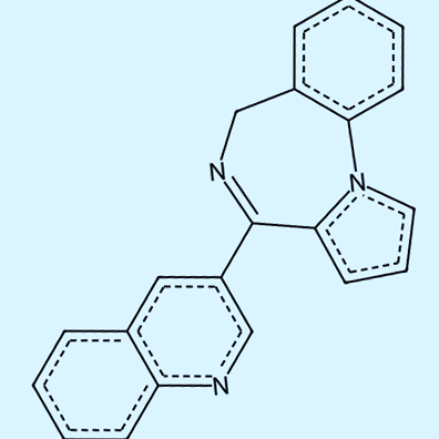 c1ccc2c(c1)CN=C(c1cnc3ccccc3c1)c1cccn1-2